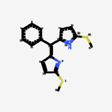 CSC1=N/C(=C(/c2ccccc2)c2ccc(SC)[nH]2)C=C1